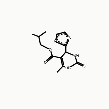 CC1=C(C(=O)OCC(C)C)C(c2nccs2)NC(=S)N1